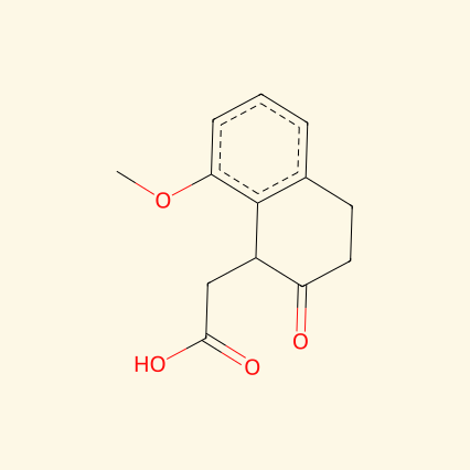 COc1cccc2c1C(CC(=O)O)C(=O)CC2